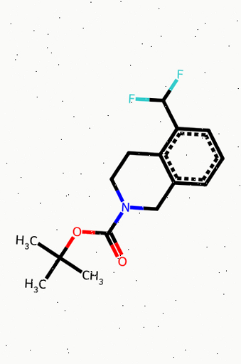 CC(C)(C)OC(=O)N1CCc2c(cccc2C(F)F)C1